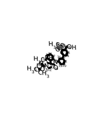 CC(C)[C@H]1N(C(=O)OC(C)(C)C)CC[C@]12C(=O)N(c1cccc(-c3ccc(CO)c(S(C)(=O)=O)c3)c1)c1ccccc12